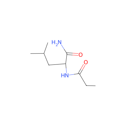 CCC(=O)NC(CC(C)C)C(N)=O